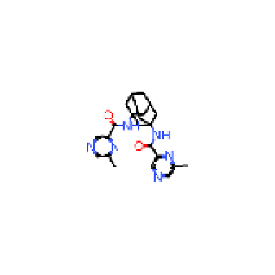 Cc1cncc(C(=O)NC23CC4CC(C2)CC(NC(=O)c2cncc(C)n2)(C4)C3)n1